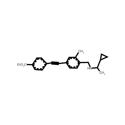 CCOC(=O)c1ccc(C#Cc2ccc(CNC(C)C3CC3)c(C)c2)cc1